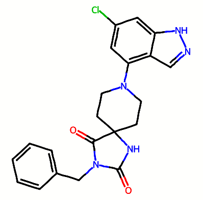 O=C1NC2(CCN(c3cc(Cl)cc4[nH]ncc34)CC2)C(=O)N1Cc1ccccc1